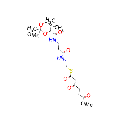 COC(=O)CCC(=O)CC(=O)SCCNC(=O)CCNC(=O)[C@@H]1OC(C)(OC)OCC1(C)C